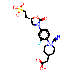 N#C[N+]1(c2ccc(N3C[C@@H](CCS(=O)(=O)[O-])OC3=O)cc2F)CCC(CC(=O)O)CC1